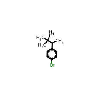 CC(c1ccc(Br)cc1)C(C)(C)C